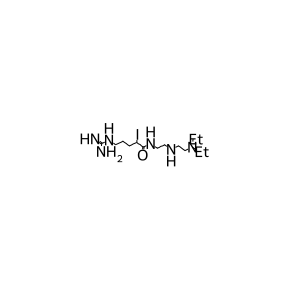 CCN(CC)CCNCCNC(=O)C(I)CCCNC(=N)N